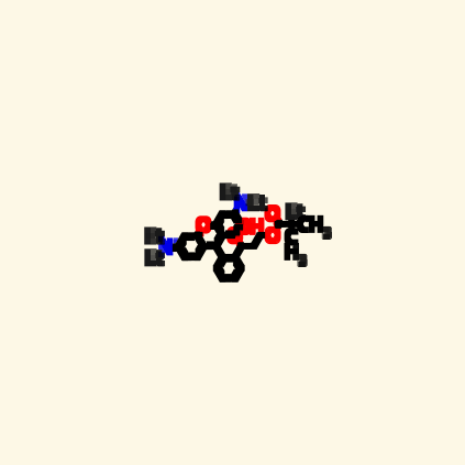 CCN(CC)c1ccc2c(-c3ccccc3C(CCOC(=O)C(C)(C)CC)OO)c3ccc(=[N+](CC)CC)cc-3oc2c1